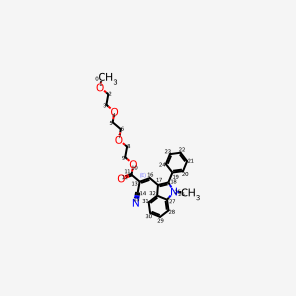 COCCOCCOCCOC(=O)/C(C#N)=C/c1c(-c2ccccc2)n(C)c2ccccc12